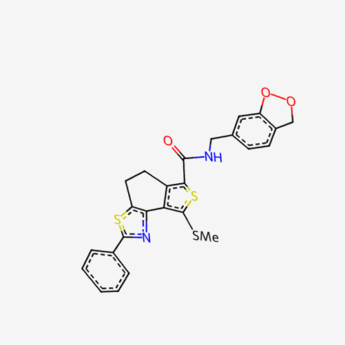 CSc1sc(C(=O)NCc2ccc3c(c2)OOC3)c2c1-c1nc(-c3ccccc3)sc1CC2